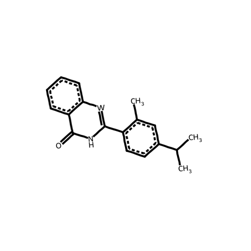 Cc1cc(C(C)C)ccc1[C]1=[W][c]2ccccc2C(=O)N1